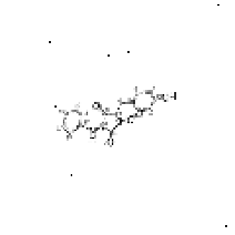 O=C1CC(Cc2ccc(O)cc2O)C(=O)N1Nc1ccccc1